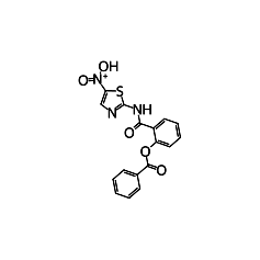 O=C(Oc1ccccc1C(=O)Nc1ncc([N+](=O)O)s1)c1ccccc1